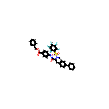 CN(C(Cc1ccc(C2CCCCC2)cc1)C(=O)Nc1ccc(C(=O)OCc2ccccc2)cc1)S(=O)(=O)c1c(F)c(F)c(F)c(F)c1F